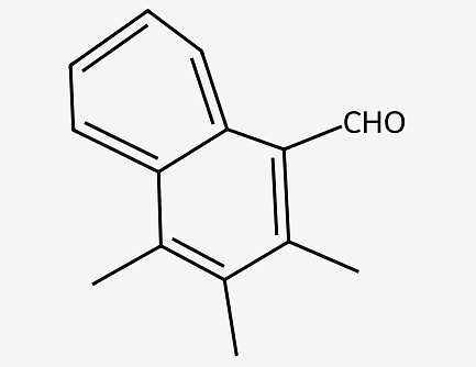 Cc1c(C)c(C=O)c2ccccc2c1C